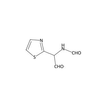 O=[C]C(NC=O)c1nccs1